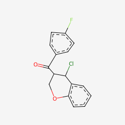 O=C(c1ccc(F)cc1)C1COc2ccccc2C1Cl